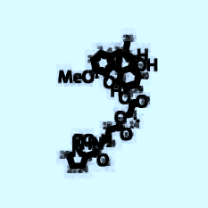 COc1ccc2c3c1O[C@H]1C(OC(=O)[C@H](C)OC(=O)CCNC(=O)C4CCCN4C(=O)O)=CC[C@@]4(O)[C@@H](C2)N(C)CC[C@]314